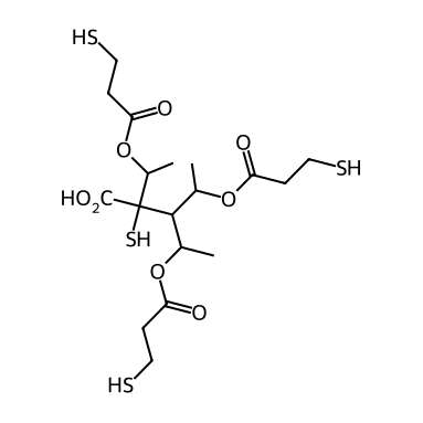 CC(OC(=O)CCS)C(C(C)OC(=O)CCS)C(S)(C(=O)O)C(C)OC(=O)CCS